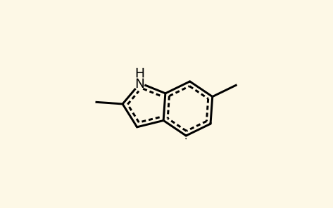 Cc1c[c]c2cc(C)[nH]c2c1